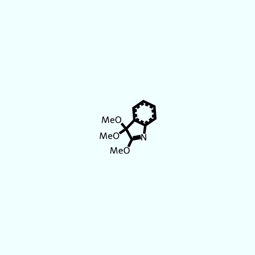 COC1=Nc2ccccc2C1(OC)OC